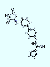 N=C(NCC1CCN(c2nccc(/C=C3\SC(=O)NC3=O)n2)CC1)c1ccco1